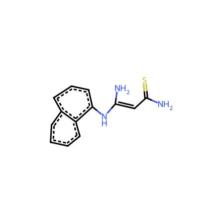 NC(=S)C=C(N)Nc1cccc2ccccc12